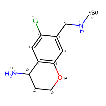 CC(C)(C)NCc1cc2c(cc1Cl)C(N)CCO2